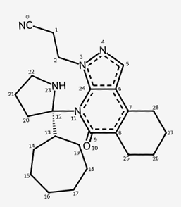 N#CCCn1ncc2c3c(c(=O)n([C@@]4(C5CCCCCC5)CCCN4)c21)CCCC3